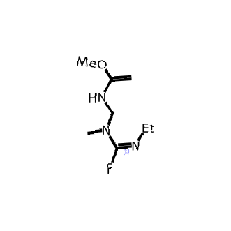 C=C(NCN(C)/C(F)=N\CC)OC